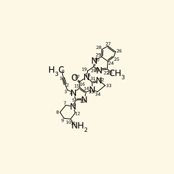 CC#CCn1c(N2CCCC(N)C2)nc2c1C(=O)N(Cc1nc(C)c3ccccc3n1)C1=NCCN12